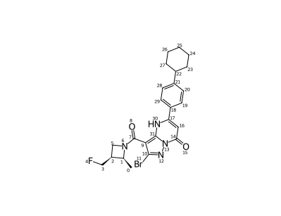 C[C@H]1[C@@H](CF)CN1C(=O)c1c(Br)nn2c(=O)cc(-c3ccc(C4CCCCC4)cc3)[nH]c12